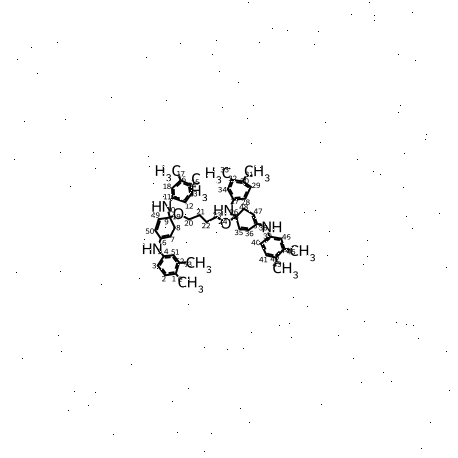 Cc1ccc(NC2=CCC(Nc3ccc(C)c(C)c3)(OCCCCOC3(Nc4ccc(C)c(C)c4)C=CC(Nc4ccc(C)c(C)c4)=CC3)C=C2)cc1C